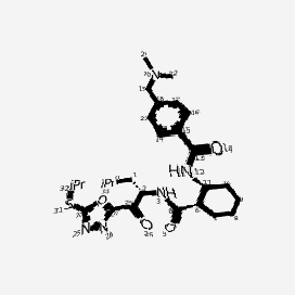 CC(C)C[C@H](NC(=O)[C@@H]1CCCC[C@@H]1NC(=O)c1ccc(CN(C)C)cc1)C(=O)c1nnc(SC(C)C)o1